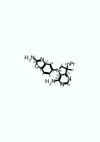 CCCC1(C)CN(c2ccc3oc(N)nc3c2)c2c(N)ncnc21